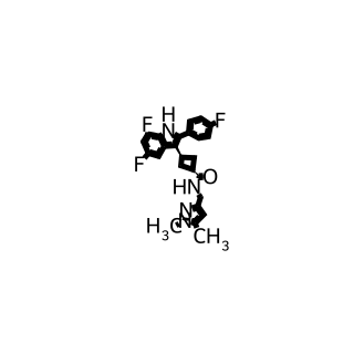 Cc1cc(CNC(=O)[C@H]2C[C@H](c3c(-c4ccc(F)cc4)[nH]c4c(F)cc(F)cc43)C2)nn1C